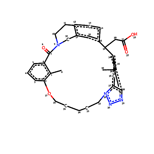 Cc1c2cccc1C(=O)N1CCc3ccc(cc3C1)C(CC(=O)O)c1ccc3c(nnn3CCCCCO2)c1C